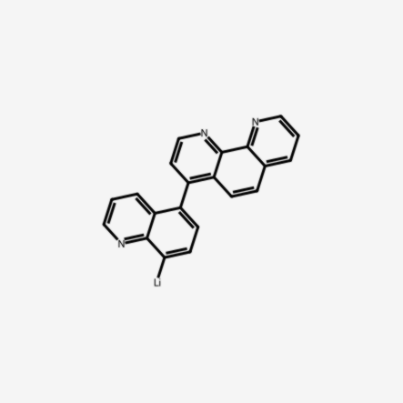 [Li][c]1ccc(-c2ccnc3c2ccc2cccnc23)c2cccnc12